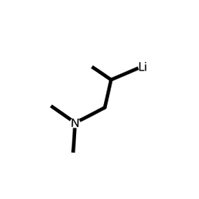 [Li][CH](C)CN(C)C